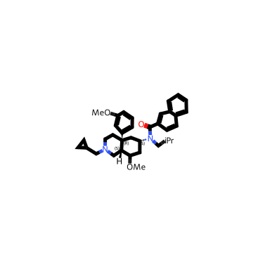 COc1cccc([C@@]23CCN(CC4CC4)C[C@H]2C(OC)C[C@@H](N(CC(C)C)C(=O)c2ccc4ccccc4c2)C3)c1